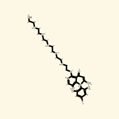 Cc1cc(=O)c2c(OCCOCCOCCOCCOCCOCCO)ncc(Cl)c2n1-c1c(Cl)cc(F)cc1Cl